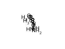 C[C@]12CCC(=NOCCNC(=N)N)C=C1CCC1C2CC[C@]2(C)C(=O)CCC12